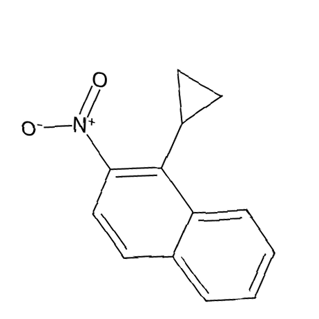 O=[N+]([O-])c1ccc2ccccc2c1C1CC1